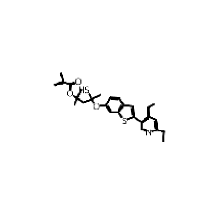 C=C(C)C(=O)OC(C)(C)CC(C)(S)Oc1ccc2cc(-c3cnc(CC)cc3CC)sc2c1